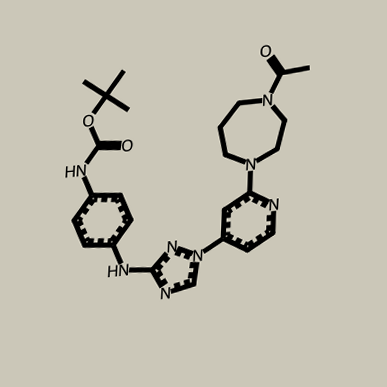 CC(=O)N1CCCN(c2cc(-n3cnc(Nc4ccc(NC(=O)OC(C)(C)C)cc4)n3)ccn2)CC1